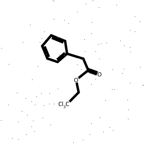 O=C(Cc1ccccc1)OCC(Cl)(Cl)Cl